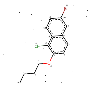 CCCCOc1ccc2cc(Br)ccc2c1Cl